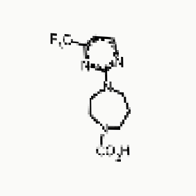 O=C(O)N1CCCN(c2nccc(C(F)(F)F)n2)CC1